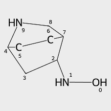 ONC1CC2CCC1CN2